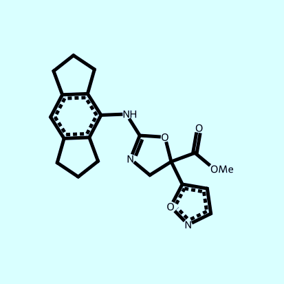 COC(=O)C1(c2ccno2)CN=C(Nc2c3c(cc4c2CCC4)CCC3)O1